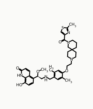 CO[C@@H](CNCc1cc(C)c(OCCN2CCC3(CCCN(C(=O)c4csc(C)n4)C3)CC2)cc1C)c1ccc(O)c2[nH]c(=O)ccc12